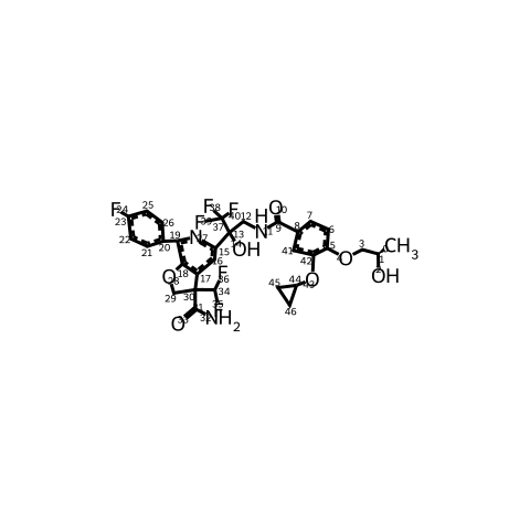 C[C@@H](O)COc1ccc(C(=O)NCC(O)(c2cc3c(c(-c4ccc(F)cc4)n2)OCC3(C(N)=O)C(F)F)C(F)(F)F)cc1OC1CC1